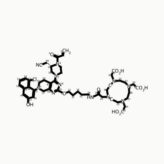 C=CC(=O)N1CCN(c2nc(OCCCCCNC(=O)CN3CCN(CC(=O)O)CCN(CC(=O)O)CCN(CC(=O)O)CC3)nc3c2CCN(c2cc(O)cc4cccc(Cl)c24)C3)C[C@@H]1CC#N